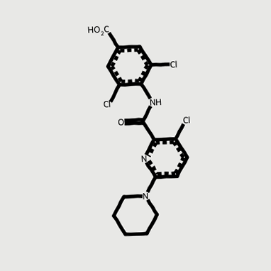 O=C(O)c1cc(Cl)c(NC(=O)c2nc(N3CCCCC3)ccc2Cl)c(Cl)c1